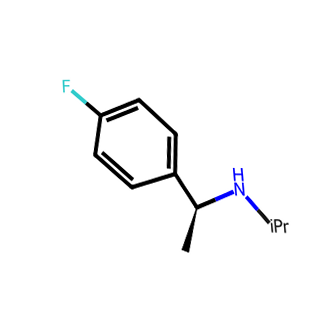 CC(C)N[C@@H](C)c1ccc(F)cc1